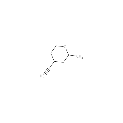 C#CC1CCOC(C)C1